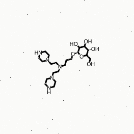 OCC1O[C@@H](OCCCN(CCN2CCNCC2)CCN2CCNCC2)C(O)C(O)[C@@H]1O